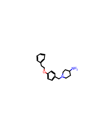 NC1CCN(Cc2ccc(OCCc3ccccc3)cc2)CC1